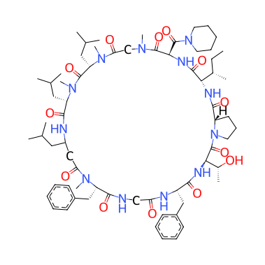 CC[C@H](C)[C@@H]1NC(=O)[C@@H]2CCCN2C(=O)[C@@H]([C@@H](C)O)NC(=O)[C@H](Cc2ccccc2)NC(=O)CNC(=O)[C@H](Cc2ccccc2)N(C)C(=O)CC(CC(C)C)NC(=O)[C@H](CC(C)C)N(C)C(=O)[C@H](CC(C)C)N(C)C(=O)CN(C)C(=O)[C@@H](C(=O)N2CCCCC2)NC1=O